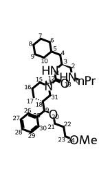 CCCNC[C@H](CC1CCCCC1)NC(=O)N1CCC[C@@H]([C@@H](OCCCOC)c2ccccc2)C1